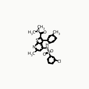 Cc1cccc(-c2c(C(=O)N(C)C)sc3nc(C)cc(NS(=O)(=O)c4cccc(Cl)c4)c23)c1